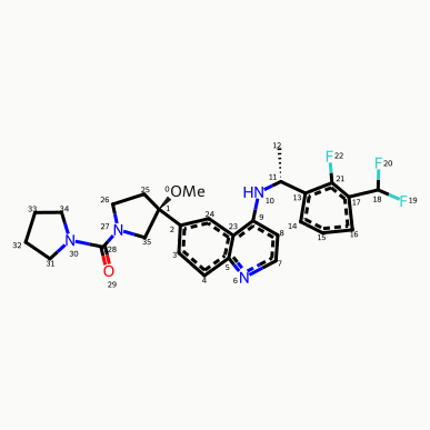 CO[C@]1(c2ccc3nccc(N[C@H](C)c4cccc(C(F)F)c4F)c3c2)CCN(C(=O)N2CCCC2)C1